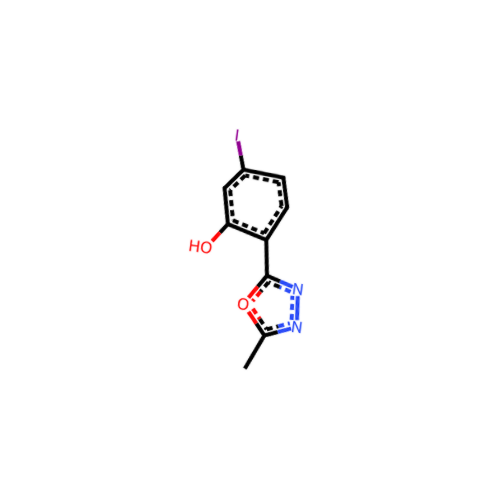 Cc1nnc(-c2ccc(I)cc2O)o1